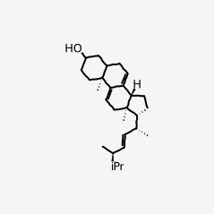 CC(C)[C@@H](C)/C=C/[C@@H](C)[C@H]1CC[C@H]2C3=CCC4CC(O)CC[C@]4(C)C3=CC[C@]12C